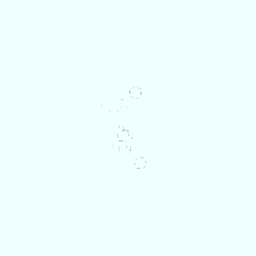 C[C@]1(OC(=O)c2ccccc2)OC[C@H](n2cc(F)c(NC(=O)c3ccccc3)nc2=O)S1